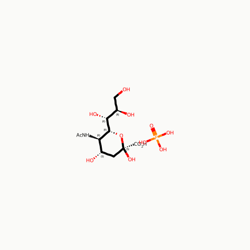 CC(=O)N[C@H]1[C@H]([C@H](O)[C@H](O)CO)O[C@](O)([14C](=O)O)C[C@@H]1O.O=P(O)(O)O